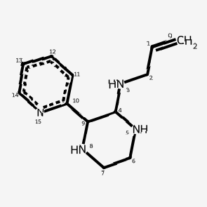 C=CCNC1NCCNC1c1ccccn1